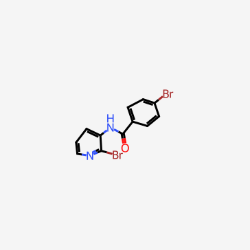 O=C(Nc1cccnc1Br)c1ccc(Br)cc1